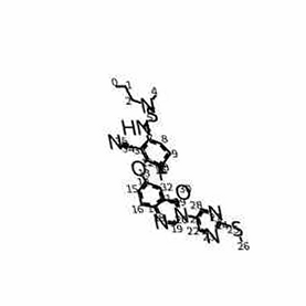 CCCN(C)SNc1ccc(F)c(Oc2ccc3ncn(-c4cnc(SC)nc4)c(=O)c3c2)c1C#N